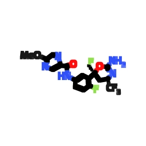 COc1cnc(C(=O)Nc2ccc(F)c([C@]3(CF)C[C@H](C(F)(F)F)N=C(N)O3)c2)cn1